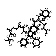 CN(CCN(C)C(=O)OC(C)(C)C)C(=O)Cn1c(-c2ccccc2)c(C2CCCCC2)c2ccc(C(=O)N(Cc3ccccc3)S(=O)(=O)CCCCl)cc21